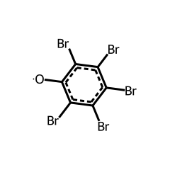 [O]c1c(Br)c(Br)c(Br)c(Br)c1Br